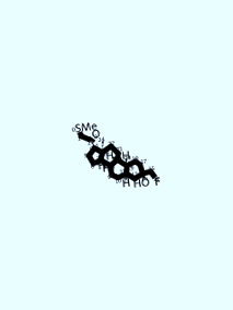 CSCC(=O)[C@H]1CC[C@H]2[C@@H]3CC[C@@H]4C[C@@](O)(CF)CC[C@@H]4[C@H]3CC[C@]12C